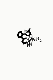 Cc1cccc(-c2ccccc2-c2ccc3nnc(C(N)=O)n3c2)n1